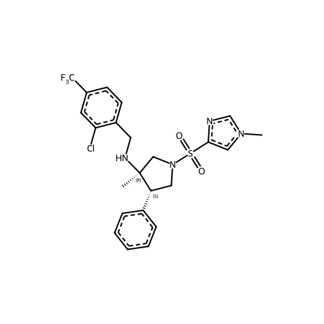 Cn1cnc(S(=O)(=O)N2C[C@H](c3ccccc3)[C@@](C)(NCc3ccc(C(F)(F)F)cc3Cl)C2)c1